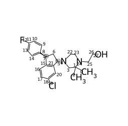 CC1(C)CN([C@H]2C[C@H](c3ccc(F)cc3)c3ccc(Cl)cc32)CCN1CCO